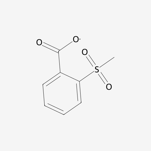 CS(=O)(=O)c1ccccc1C([O])=O